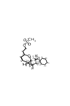 CS(=O)(=O)OCCC1CC[C@@H]2O[C@@H]3C[C@]2(C[C@H]2OC4(CCCCC4)OC32)O1